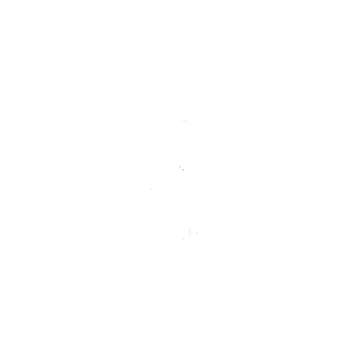 CCCCCCCC/N=C(\C)SCCCCCCC